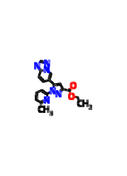 CCOC(=O)c1cc(-c2ccc3ncnn3c2)n(-c2cccc(C)n2)n1